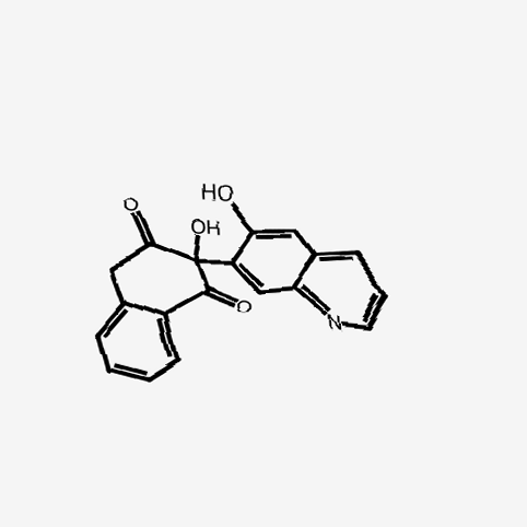 O=C1Cc2ccccc2C(=O)C1(O)c1cc2ncccc2cc1O